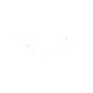 O=C(/C=C/c1ccc(O)c(O)c1)c1ccc(NC(=O)c2cccs2)cc1